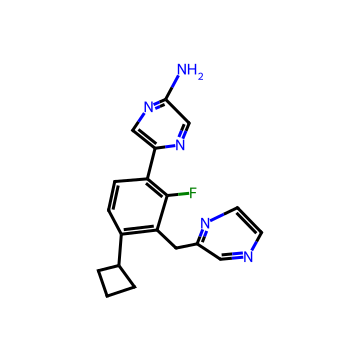 Nc1cnc(-c2ccc(C3CCC3)c(Cc3cnccn3)c2F)cn1